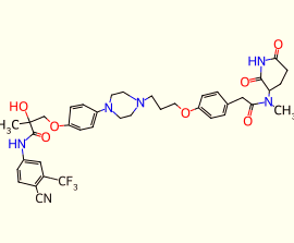 CN(C(=O)Cc1ccc(OCCCN2CCN(c3ccc(OCC(C)(O)C(=O)Nc4ccc(C#N)c(C(F)(F)F)c4)cc3)CC2)cc1)C1CCC(=O)NC1=O